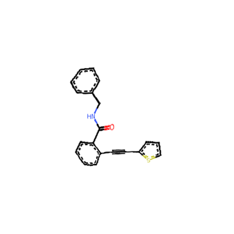 O=C(NCc1ccccc1)c1ccccc1C#Cc1cccs1